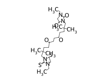 CCN1CC(=O)N(CC(C)(C)CCC(=O)CCC(=O)CCC(C)(C)CN2C(=S)CN(CC)C2=S)C1=O